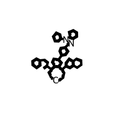 C=C(/C=C\c1ccccc1)c1ccccccc(-c2ccc3c(c2)CCC=C3)c2cc(-c3ccc(-c4nc5ccccc5n4-c4ccccc4)cc3)ccc12